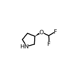 FC(F)O[C@@H]1CCNC1